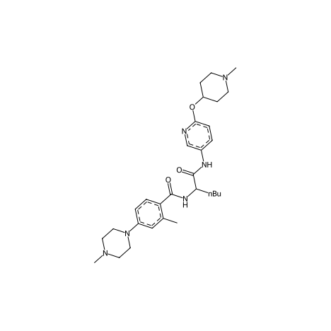 CCCCC(NC(=O)c1ccc(N2CCN(C)CC2)cc1C)C(=O)Nc1ccc(OC2CCN(C)CC2)nc1